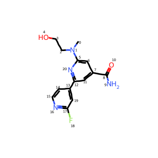 CN(CCO)c1cc(C(N)=O)cc(-c2ccnc(F)c2)n1